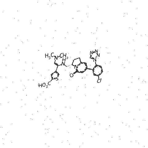 CN(C)/C=C(\NC[C@@H]1CCc2cc(-c3cc(Cl)ccc3-n3cnnn3)cc(=O)n21)c1csc(C(=O)O)c1